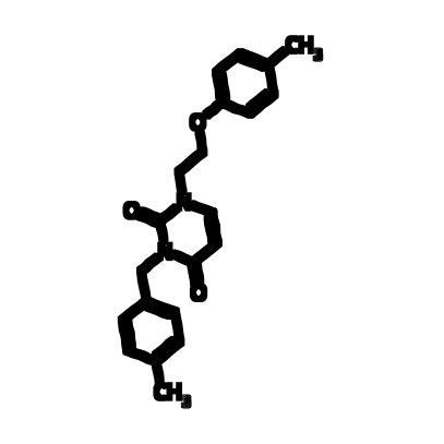 Cc1ccc(Cn2c(=O)ccn(CCOc3ccc(C)cc3)c2=O)cc1